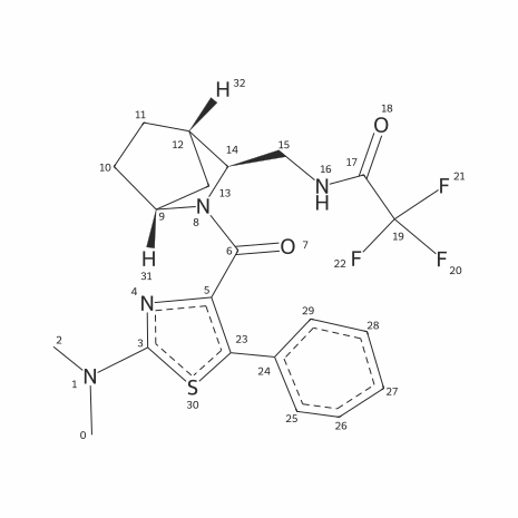 CN(C)c1nc(C(=O)N2[C@@H]3CC[C@@H](C3)[C@H]2CNC(=O)C(F)(F)F)c(-c2ccccc2)s1